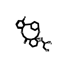 N#CC[C@@H](N[C@@H]1CCCN2C(=O)COc3cccc(F)c3C3CCC(CC3)OC[C@@H]12)C(F)(F)F